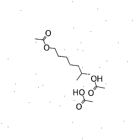 CC(=O)O.CC(=O)O.CC(=O)OCCCCCC(C)C